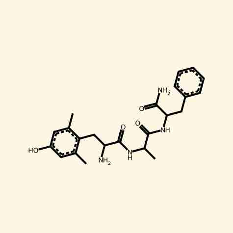 Cc1cc(O)cc(C)c1CC(N)C(=O)NC(C)C(=O)NC(Cc1ccccc1)C(N)=O